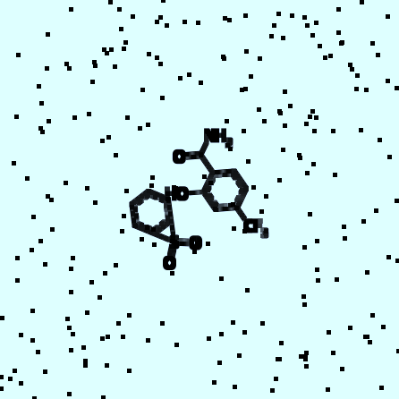 NC(=O)c1ccc(C(F)(F)F)cc1O.O=S1(=O)c2ccccc21